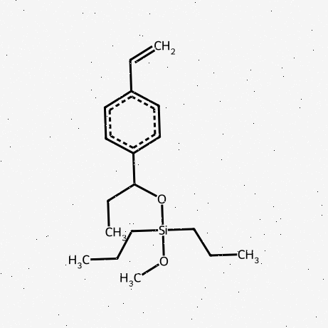 C=Cc1ccc(C(CC)O[Si](CCC)(CCC)OC)cc1